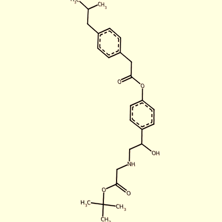 CC(C)Cc1ccc(CC(=O)Oc2ccc(C(O)CNCC(=O)OC(C)(C)C)cc2)cc1